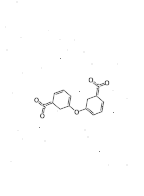 O=S(=O)=C1C=CC=C(OC2=CC=CC(=S(=O)=O)C2)C1